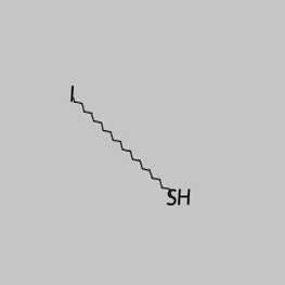 SCCCCCCCCCCCCCCCCCCCCI